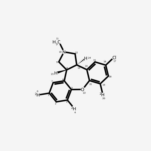 [2H]c1cc([2H])c2c(c1)[C@@H]1CN(C)C[C@H]1c1cc(Cl)cc([2H])c1O2